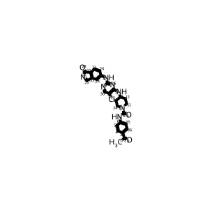 CC(=O)c1ccc(NC(=O)N2CCC(Nc3nc(Nc4ccc5c(c4)C=NC5=O)ncc3Cl)CC2)cc1